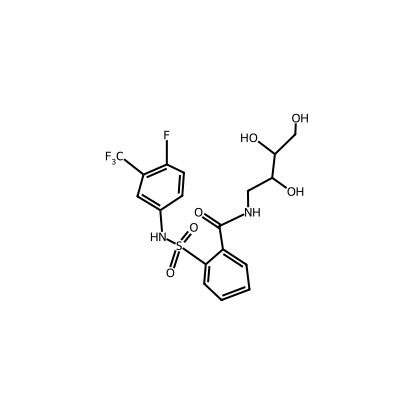 O=C(NCC(O)C(O)CO)c1ccccc1S(=O)(=O)Nc1ccc(F)c(C(F)(F)F)c1